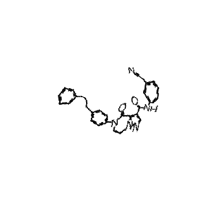 N#Cc1cccc(NC(=O)c2cnn3c2C(=O)N(c2ccc(CCc4ccccc4)cc2)CC3)c1